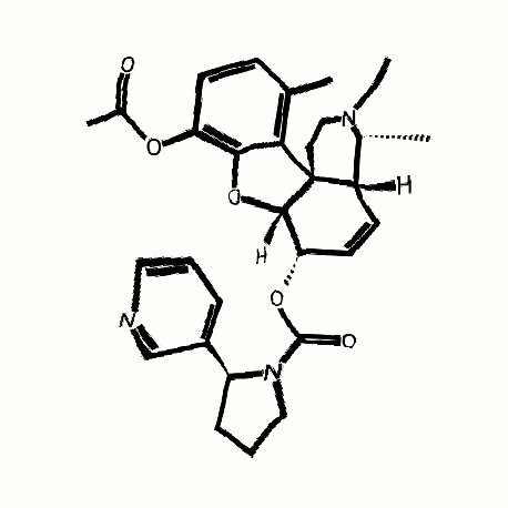 CC(=O)Oc1ccc(C)c2c1O[C@H]1[C@@H](OC(=O)N3CCC[C@H]3c3cccnc3)C=C[C@H]3[C@@H](C)N(C)CC[C@@]231